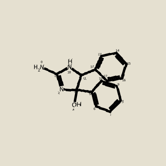 NC1=NC(O)(c2ccccc2)C(c2ccccc2)N1